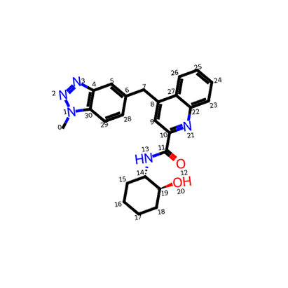 Cn1nnc2cc(Cc3cc(C(=O)N[C@H]4CCCC[C@@H]4O)nc4ccccc34)ccc21